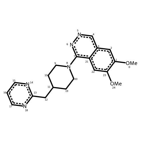 COc1cc2cnnc(N3CCC(Cc4ncccn4)CC3)c2cc1OC